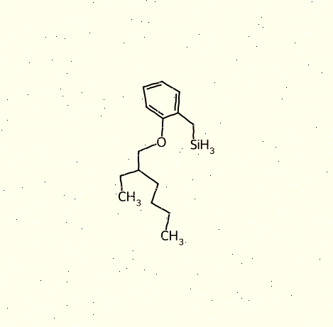 CCCCC(CC)COc1ccccc1C[SiH3]